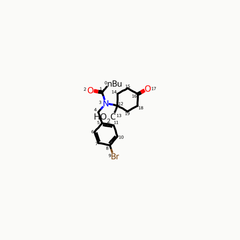 CCCCC(=O)N(Cc1ccc(Br)cc1)C1(C(=O)O)CCC(=O)CC1